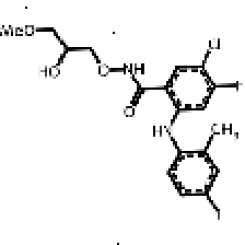 COCC(O)CONC(=O)c1cc(Cl)c(F)cc1Nc1ccc(I)cc1C